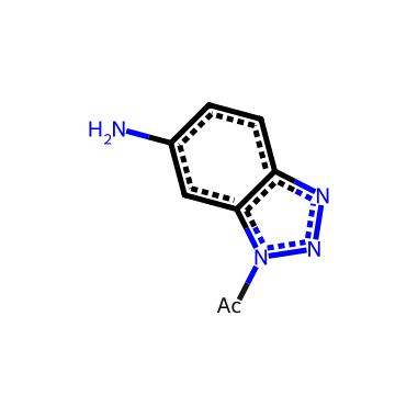 CC(=O)n1nnc2ccc(N)cc21